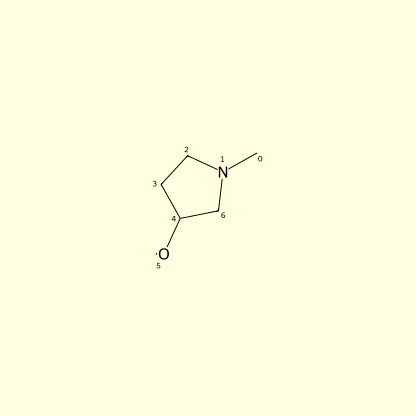 CN1CCC([O])C1